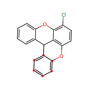 Clc1ccc2c3c1Oc1ccccc1C3(c1ccccc1)c1ccccc1O2